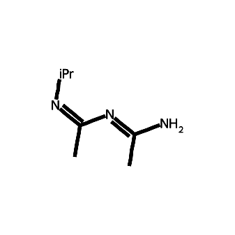 CC(=N/C(C)C)/N=C(\C)N